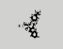 CCS(=O)(=O)c1cc2ccccc2nc1-c1nc2cc(C(F)(F)F)ncc2n1C